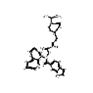 CC(C)N1CCC(CCNC(=O)CN(C(=O)c2ccc3cc[nH]c3c2)c2cccc3cccnc23)CC1